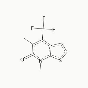 Cc1c(C(F)(F)F)c2ccsc2n(C)c1=O